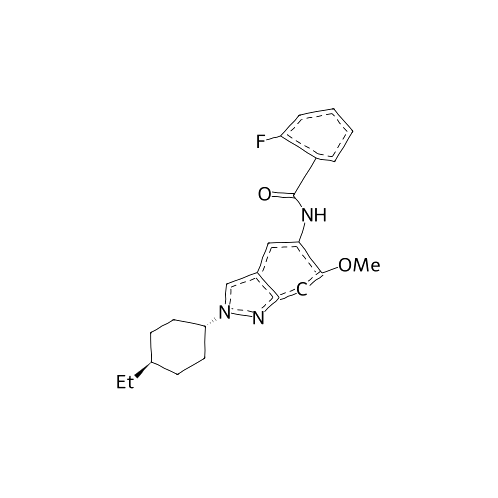 CC[C@H]1CC[C@H](n2cc3cc(NC(=O)c4ccccc4F)c(OC)cc3n2)CC1